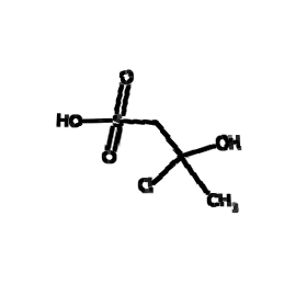 CC(O)(Cl)CS(=O)(=O)O